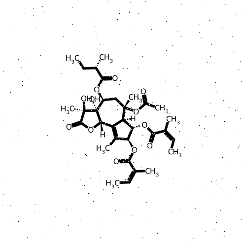 C/C=C(/C)C(=O)O[C@H]1[C@H]2C(=C(C)[C@@H]1OC(=O)/C(C)=C\C)[C@@H]1OC(=O)[C@@](C)(O)[C@@]1(O)[C@@H](OC(=O)[C@@H](C)CC)C[C@]2(C)OC(C)=O